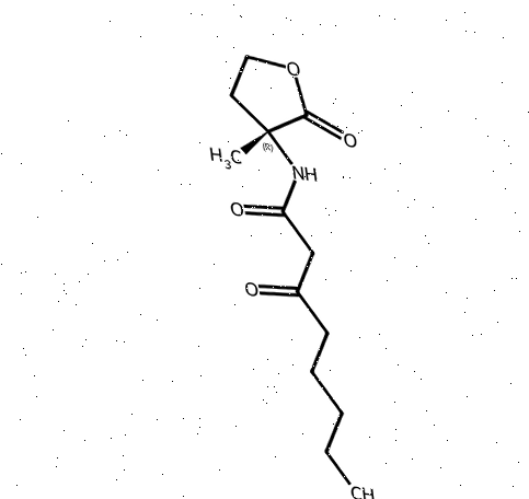 CCCCCC(=O)CC(=O)N[C@]1(C)CCOC1=O